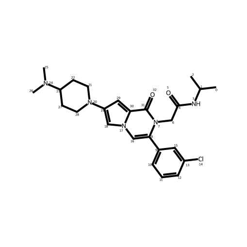 CC(C)NC(=O)Cn1c(-c2cccc(Cl)c2)cn2cc(N3CCC(N(C)C)CC3)cc2c1=O